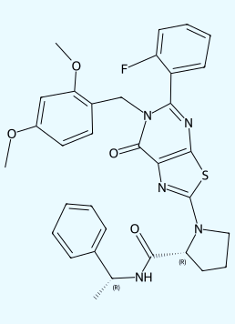 COc1ccc(Cn2c(-c3ccccc3F)nc3sc(N4CCC[C@@H]4C(=O)N[C@H](C)c4ccccc4)nc3c2=O)c(OC)c1